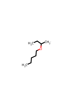 [CH2]C(CC)OCCCCC